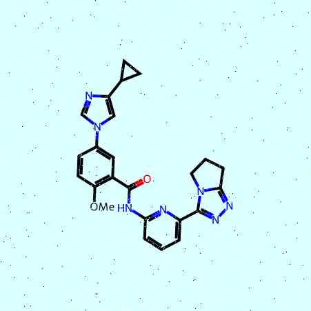 COc1ccc(-n2cnc(C3CC3)c2)cc1C(=O)Nc1cccc(-c2nnc3n2CCC3)n1